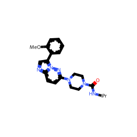 COc1ccccc1-c1cnc2ccc(N3CCN(C(=O)NC(C)C)CC3)nn12